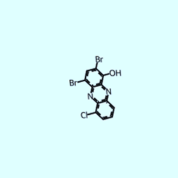 Oc1c(Br)cc(Br)c2nc3c(Cl)cccc3nc12